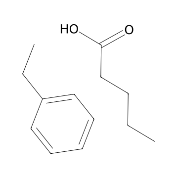 CCCCC(=O)O.CCc1ccccc1